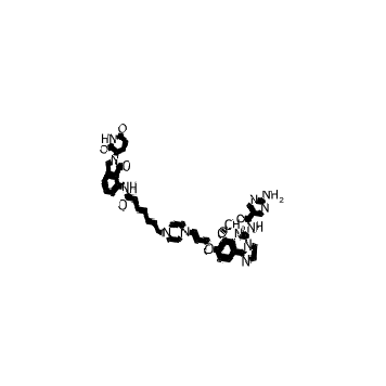 COc1c(OCCCN2CCN(CCCCCCC(=O)Nc3cccc4c3C(=O)N(C3CCC(=O)NC3=O)C4)CC2)ccc2c1N=C(NC(=O)c1cnc(N)nc1)N1CCN=C21